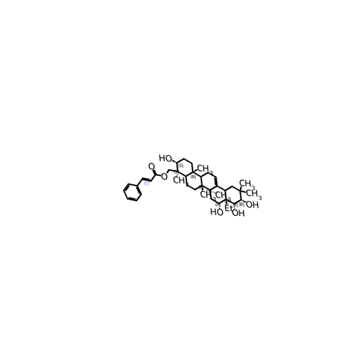 CC[C@@]12C(CC(C)(C)[C@@H](O)[C@@H]1O)C1=CCC3[C@@]4(C)CC[C@H](O)[C@](C)(COC(=O)/C=C/c5ccccc5)C4CC[C@@]3(C)[C@]1(C)C[C@H]2O